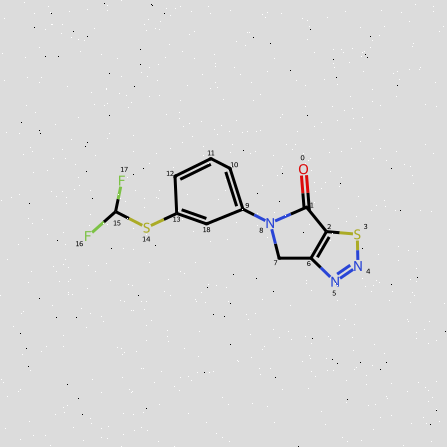 O=C1c2snnc2CN1c1cccc(SC(F)F)c1